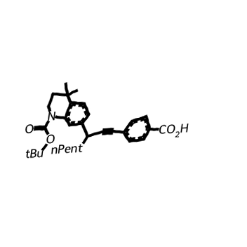 CCCCCC(C#Cc1ccc(C(=O)O)cc1)c1ccc2c(c1)N(C(=O)OC(C)(C)C)CCC2(C)C